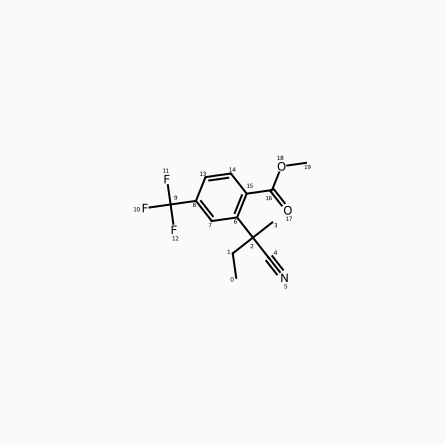 CCC(C)(C#N)c1cc(C(F)(F)F)ccc1C(=O)OC